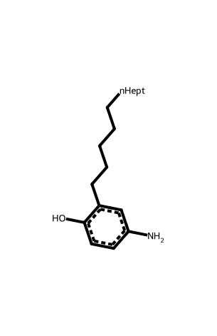 CCCCCCCCCCCCc1cc(N)ccc1O